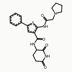 O=C1CCC(NC(=O)c2cc(-c3ccccc3)sc2NC(=O)CN2CCCC2)C(=O)N1